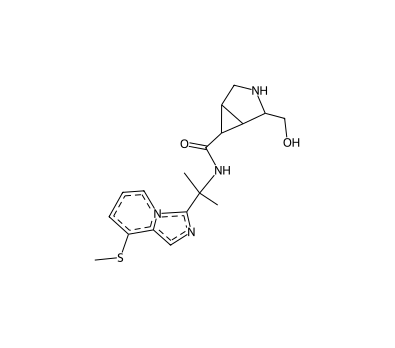 CSc1cccn2c(C(C)(C)NC(=O)C3C4CNC(CO)C43)ncc12